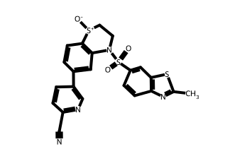 Cc1nc2ccc(S(=O)(=O)N3CC[S+]([O-])c4ccc(-c5ccc(C#N)nc5)cc43)cc2s1